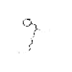 CCCCCCCCCCCCCCCCC(=Cc1ccccc1)C(=O)O